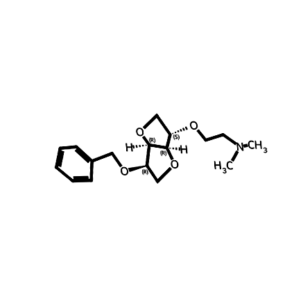 CN(C)CCO[C@H]1CO[C@H]2[C@@H]1OC[C@H]2OCc1ccccc1